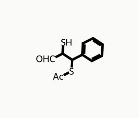 CC(=O)SC(c1ccccc1)C(S)C=O